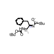 C[C@H](NC(=O)OC(C)(C)C)/C(Cc1ccccc1)=N/[S+]([O-])C(C)(C)C